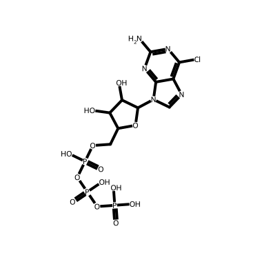 Nc1nc(Cl)c2ncn(C3OC(COP(=O)(O)OP(=O)(O)OP(=O)(O)O)C(O)C3O)c2n1